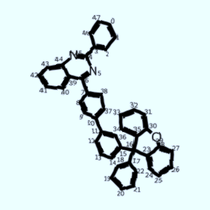 c1ccc(-c2nc(-c3ccc(-c4cccc(C5(c6ccccc6)c6ccccc6Oc6ccccc65)c4)cc3)c3ccccc3n2)cc1